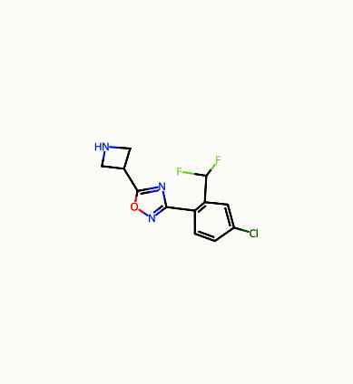 FC(F)c1cc(Cl)ccc1-c1noc(C2CNC2)n1